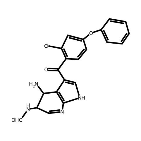 NC1c2c(C(=O)c3ccc(Oc4ccccc4)cc3Cl)c[nH]c2N=CC1NC=O